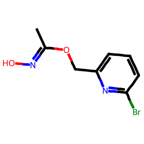 CC(=NO)OCc1cccc(Br)n1